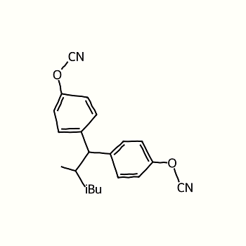 CCC(C)C(C)C(c1ccc(OC#N)cc1)c1ccc(OC#N)cc1